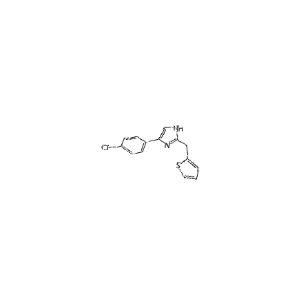 Clc1ccc(-c2c[nH]c(Cc3cccs3)n2)cc1